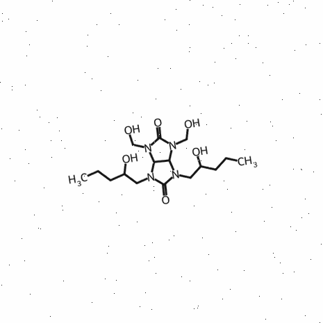 CCCC(O)CN1C(=O)N(CC(O)CCC)C2C1N(CO)C(=O)N2CO